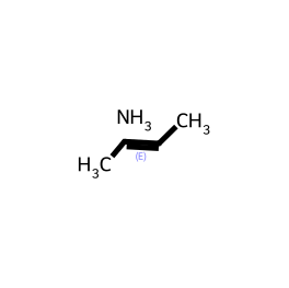 C/C=C/C.N